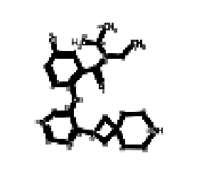 CCN(C(=O)c1cc(Cl)ccc1Oc1cncnc1N1CC2(CCNCC2)C1)C(C)C